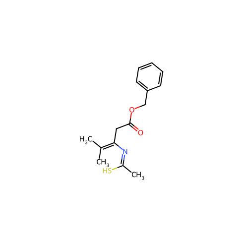 CC(C)=C(CC(=O)OCc1ccccc1)/N=C(/C)S